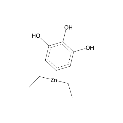 C[CH2][Zn][CH2]C.Oc1cccc(O)c1O